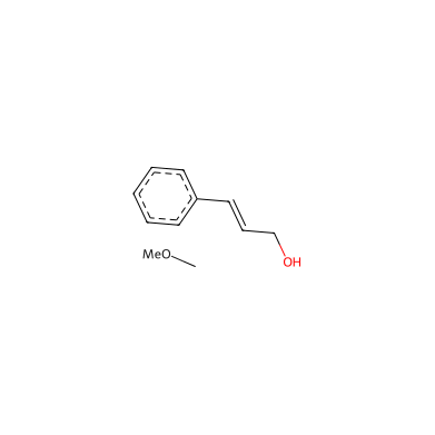 COC.OCC=Cc1ccccc1